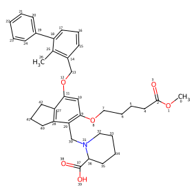 COC(=O)CCCCOc1cc(OCc2cccc(-c3ccccc3)c2C)c2c(c1CN1CCCCC1C(=O)O)CCC2